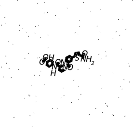 NC(=O)c1ccc(-c2ccc3nc4c(C(=O)N[C@H]5CC[C@@H](C(=O)O)CC5)cccn4c(=O)c3c2)s1